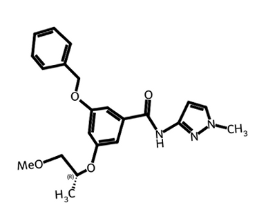 COC[C@@H](C)Oc1cc(OCc2ccccc2)cc(C(=O)Nc2ccn(C)n2)c1